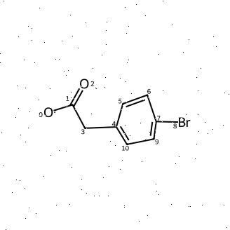 [O]C(=O)Cc1ccc(Br)cc1